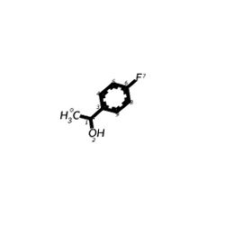 C[C](O)c1ccc(F)cc1